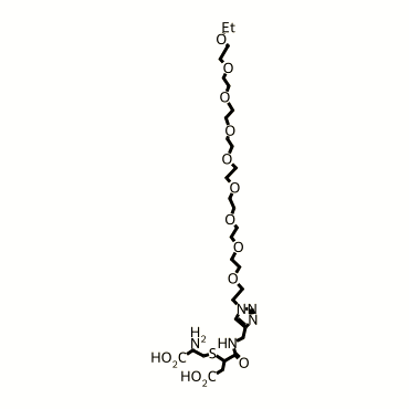 CCOCCOCCOCCOCCOCCOCCOCCOCCOCCn1cc(CNC(=O)C(CC(=O)O)SCC(N)C(=O)O)nn1